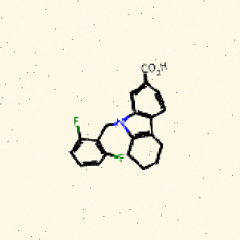 O=C(O)c1ccc2c3c(n(Cc4c(F)cccc4F)c2c1)CCCC3